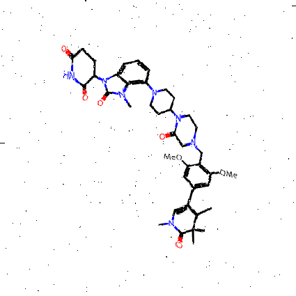 COc1cc(C2=CN(C)C(=O)C(C)(C)C2C)cc(OC)c1CN1CCN(C2CCN(c3cccc4c3n(C)c(=O)n4C3CCC(=O)NC3=O)CC2)C(=O)C1